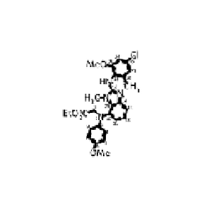 CCOC(=O)CN(c1ccc(OC)cc1)c1cccc2nc(Nc3c(C)cc(Cl)cc3OC)n(C)c12